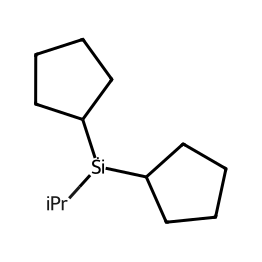 CC(C)[Si](C1CCCC1)C1CCCC1